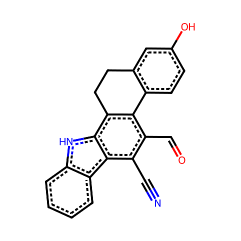 N#Cc1c(C=O)c2c(c3[nH]c4ccccc4c13)CCc1cc(O)ccc1-2